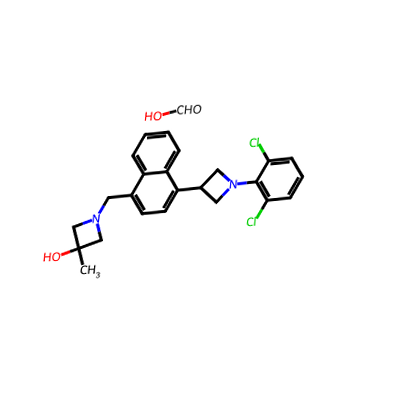 CC1(O)CN(Cc2ccc(C3CN(c4c(Cl)cccc4Cl)C3)c3ccccc23)C1.O=CO